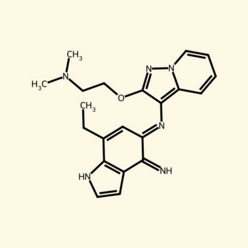 CCC1=CC(=Nc2c(OCCN(C)C)nn3ccccc23)C(=N)c2cc[nH]c21